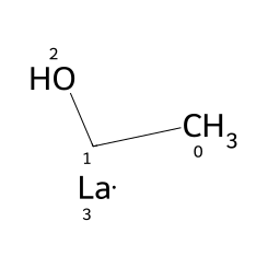 CCO.[La]